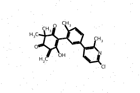 C=C1C(=O)C(C)(C)C(=O)C(c2cc(-c3ccc(Cl)nc3C)ccc2C)=C1O